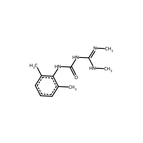 C/N=C(\NC)NC(=O)Nc1c(C)cccc1C